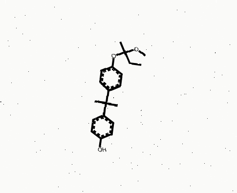 CCC(C)(OC)Oc1ccc(C(C)(C)c2ccc(O)cc2)cc1